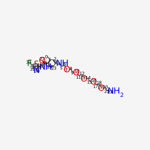 Cc1cc(NCCOCCOCCOCCOCCOCCN)ccc1C(=O)Nc1ncc(F)s1